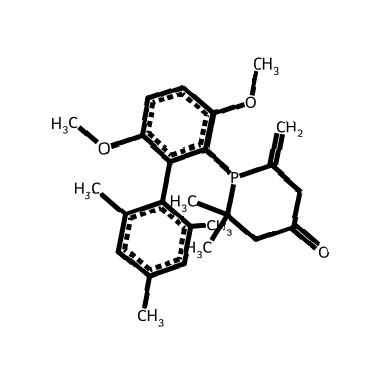 C=C1CC(=O)CC(C)(C)P1c1c(OC)ccc(OC)c1-c1c(C)cc(C)cc1C